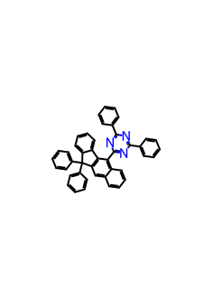 c1ccc(-c2nc(-c3ccccc3)nc(-c3c4c(cc5ccccc35)C(c3ccccc3)(c3ccccc3)c3ccccc3-4)n2)cc1